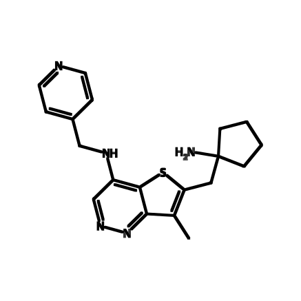 Cc1c(CC2(N)CCCC2)sc2c(NCc3ccncc3)cnnc12